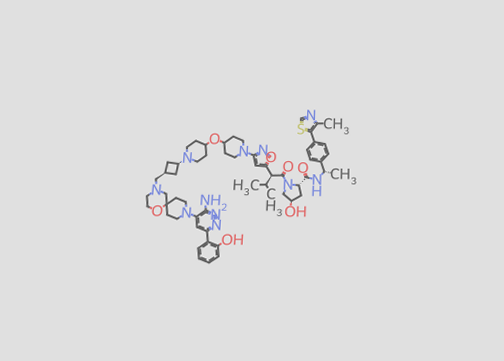 Cc1ncsc1-c1ccc([C@H](C)NC(=O)[C@@H]2C[C@@H](O)CN2C(=O)[C@H](c2cc(N3CCC(OC4CCN([C@H]5C[C@H](CN6CCOC7(CCN(c8cc(-c9ccccc9O)nnc8N)CC7)C6)C5)CC4)CC3)no2)C(C)C)cc1